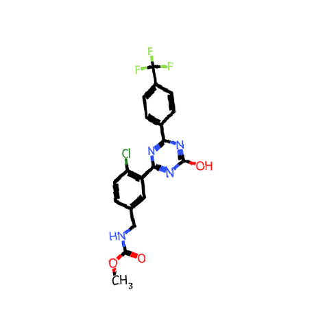 COC(=O)NCc1ccc(Cl)c(-c2nc(O)nc(-c3ccc(C(F)(F)F)cc3)n2)c1